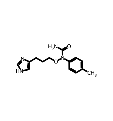 Cc1ccc(N(OCCCc2c[nH]cn2)C(N)=O)cc1